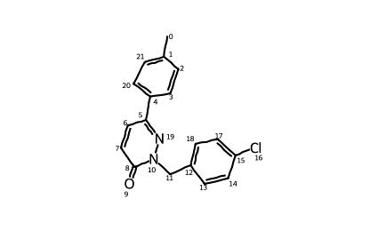 Cc1ccc(-c2ccc(=O)n(Cc3ccc(Cl)cc3)n2)cc1